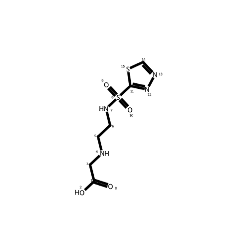 O=C(O)CNCCNS(=O)(=O)c1nncs1